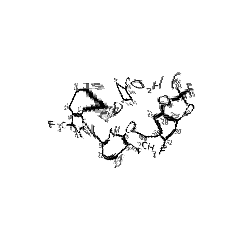 C[C@H](Oc1nc(-n2nc(C(F)(F)F)c3c2[C@@H](O[C@H]2C[C@H](C(=O)O)C2)CCC3)ccc1F)c1cc2c(cc1F)OC(F)(F)O2